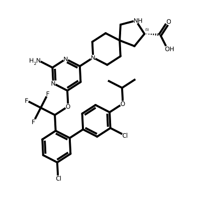 CC(C)Oc1ccc(-c2cc(Cl)ccc2C(Oc2cc(N3CCC4(CC3)CN[C@H](C(=O)O)C4)nc(N)n2)C(F)(F)F)cc1Cl